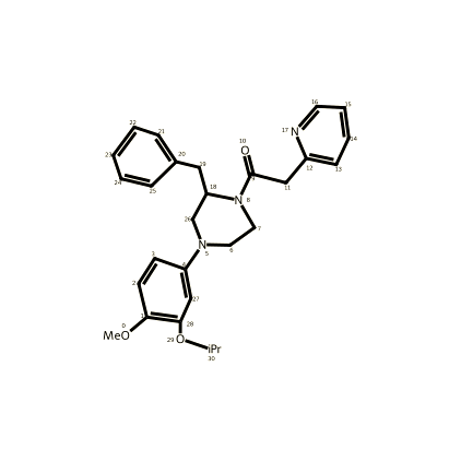 COc1ccc(N2CCN(C(=O)Cc3ccccn3)C(Cc3ccccc3)C2)cc1OC(C)C